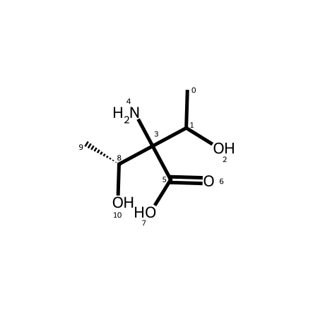 CC(O)C(N)(C(=O)O)[C@@H](C)O